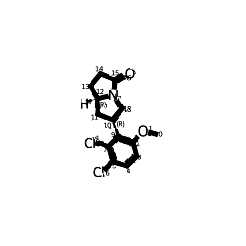 COc1ccc(Cl)c(Cl)c1[C@H]1C[C@H]2CCC(=O)N2C1